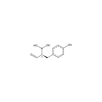 O=C[C@H](Cc1ccc(O)cc1)N(O)O